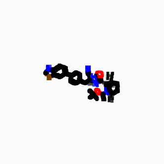 C=C(OC(C)(C)C)N1[C@@H]2CC[C@@H](C2)[C@H]1C(=O)N[C@H](C#N)Cc1ccc(-c2ccc3ncsc3c2)cc1